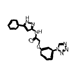 O=C(COc1cccc(-n2cnnn2)c1)Nc1cc(-c2ccccc2)[nH]n1